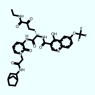 CCNC(=O)C(=O)CC[C@H](NC(=O)c1cnc2ccc(OC(F)(F)F)cc2c1O)C(=O)Nc1cccn(CC(=O)NC2CC3CCC2C3)c1=O